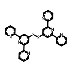 c1ccc(-c2cc(SSc3cc(-c4ccccn4)nc(-c4ccccn4)c3)cc(-c3ccccn3)n2)nc1